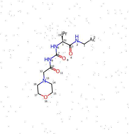 CC(=O)CNC(=O)[C@@H](NC(=O)NC(=O)CN1CCOCC1)C(C)C